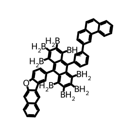 Bc1c(B)c(B)c2c(-c3ccc4oc5cc6ccccc6cc5c4c3)c3c(B)c(B)c(B)c(B)c3c(-c3cccc(-c4ccc5ccc6ccccc6c5c4)c3)c2c1B